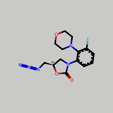 [N-]=[N+]=NC[C@H]1CN(c2cccc(F)c2N2CCOCC2)C(=O)O1